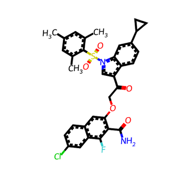 Cc1cc(C)c(S(=O)(=O)n2cc(C(=O)COc3cc4ccc(Cl)cc4c(F)c3C(N)=O)c3ccc(C4CC4)cc32)c(C)c1